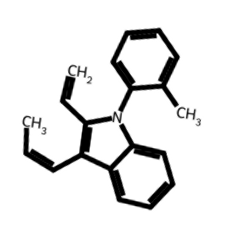 C=Cc1c(/C=C\C)c2ccccc2n1-c1ccccc1C